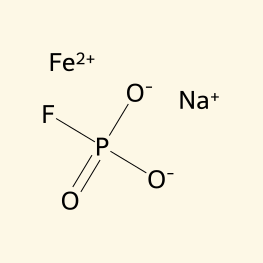 O=P([O-])([O-])F.[Fe+2].[Na+]